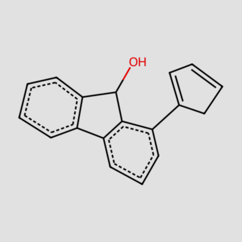 OC1c2ccccc2-c2cccc(C3=CC=CC3)c21